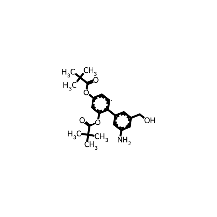 CC(C)(C)C(=O)Oc1c[c]c(-c2cc(N)cc(CO)c2)c(OC(=O)C(C)(C)C)c1